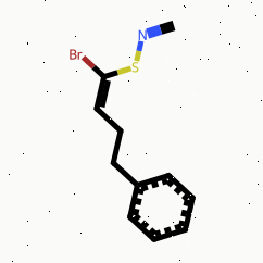 C=NS/C(Br)=C\CCc1ccccc1